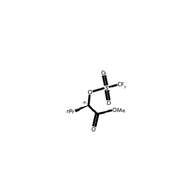 CCC[C@@H](OS(=O)(=O)C(F)(F)F)C(=O)OC